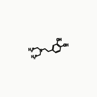 Oc1ccc(CCN(CP)CP)cc1O